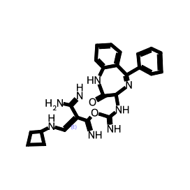 N=C(NC1N=C(c2ccccc2)c2ccccc2NC1=O)OC(=N)/C(=C/NC1CCC1)C(=N)N